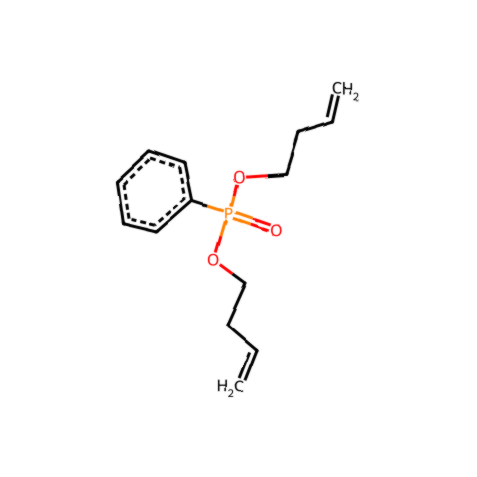 C=CCCOP(=O)(OCCC=C)c1ccccc1